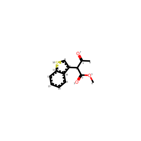 COC(=O)C(C(C)=O)c1csc2ccccc12